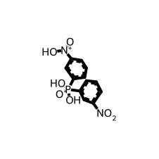 O=[N+]([O-])c1cccc(P([O-])(O)(O)c2cccc([N+](=O)O)c2)c1